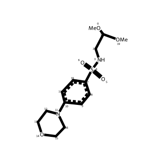 COC(CNS(=O)(=O)c1ccc(N2CCOCC2)cc1)OC